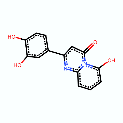 O=c1cc(-c2ccc(O)c(O)c2)nc2cccc(O)n12